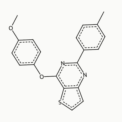 COc1ccc(Oc2nc(-c3ccc(C)cc3)nc3ccsc23)cc1